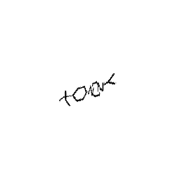 CC(C)N1CCN([C@H]2CC[C@H](C(C)(C)C)CC2)CC1